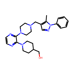 Cc1c(CN2CCN(c3nccnc3N3CCC(CO)CC3)CC2)cnn1-c1ccccc1